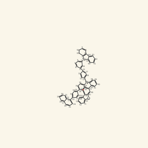 C1=Cc2c(n(-c3cccc(-c4ccc(N(c5ccc(-c6ccc(-c7cccc8ccccc78)cc6)cc5)c5ccccc5-c5ccc6c(c5)oc5ccccc56)cc4)c3)c3ccccc23)CC1